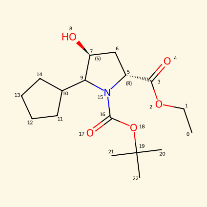 CCOC(=O)[C@H]1C[C@H](O)C(C2CCCC2)N1C(=O)OC(C)(C)C